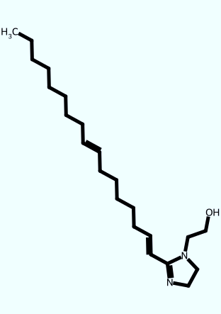 CCCCCCCCC=CCCCCCC=CC1=NCCN1CCO